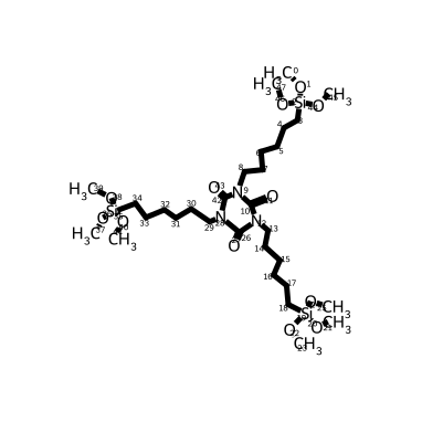 CO[Si](CCCCCCn1c(=O)n(CCCCCC[Si](OC)(OC)OC)c(=O)n(CCCCCC[Si](OC)(OC)OC)c1=O)(OC)OC